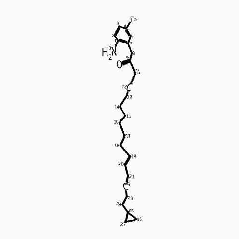 Nc1ccc(F)cc1CC(=O)CCCCCCCCCCCCCCC1CC1